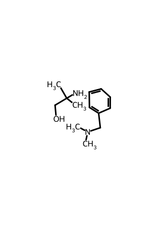 CC(C)(N)CO.CN(C)Cc1ccccc1